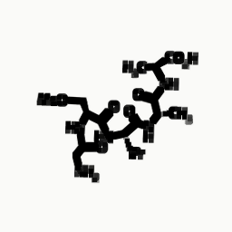 COC[C@H](NC(=O)CN)C(=O)N[C@H](C(=O)N[C@@H](C)C(=O)N[C@@H](C)C(=O)O)C(C)C